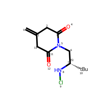 C=C1CC(=O)N(C[C@@H](NCl)C(C)(C)C)C(=O)C1